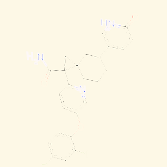 NC(=O)C1(c2ccc(Oc3ccc(F)cc3F)cn2)CC12CCCC(c1ccc(=O)[nH]c1)C2